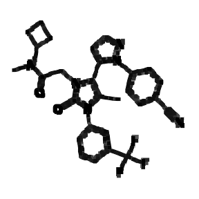 Cc1c(-c2ccnn2-c2ccc(C#N)cc2)n(CC(=O)N(C)C2CCC2)c(=O)n1-c1cccc(C(F)(F)F)c1